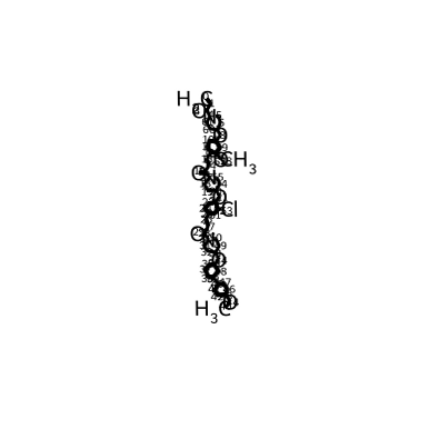 C=CC(=O)N1CCC(Oc2ccc(/C=C/C(=O)N3CCC(Oc4ccc(/C=C/C(=O)N5CCC(Oc6cccc(-c7ccc(OC)cc7)c6)CC5)cc4Cl)CC3)c(OC)c2)CC1